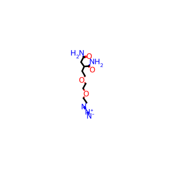 [N-]=[N+]=NCCOCCOCCC(CC(N)=O)C(N)=O